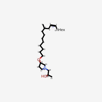 CCCCCC/C=C\CC(C)CCCCCCCCOC1CCN(CC(C)O)C1